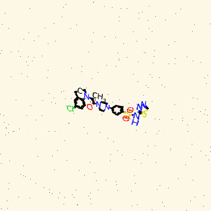 C[C@H](C(=O)N1CCN(c2ccc(S(=O)(=O)Nc3nncs3)cc2)CC1)N1CCCc2cc(Cl)ccc21